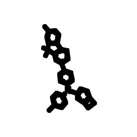 Cc1ccc(N(c2ccc(-c3ccc4c(c3)C(C)(C)c3cc(C)ccc3-4)cc2)c2ccc3c(c2)CC3)cc1